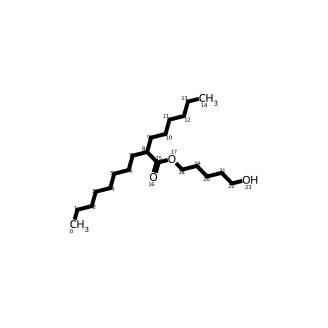 CCCCCCCCC(CCCCCC)C(=O)OCCCCCO